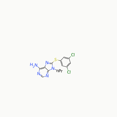 CCCn1c(Sc2cc(Cl)cc(Cl)c2)nc2c(N)ncnc21